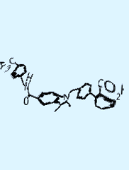 Cc1c(C)n(Cc2ccc(-c3ccccc3C(=O)O)cc2)c2ccc(C(=O)NCc3ccc(C(F)(F)F)cc3)cc12